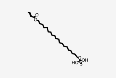 CC=CC(=O)OCCCCCCCCCCCCCCCCCCCCOP(O)(O)=S